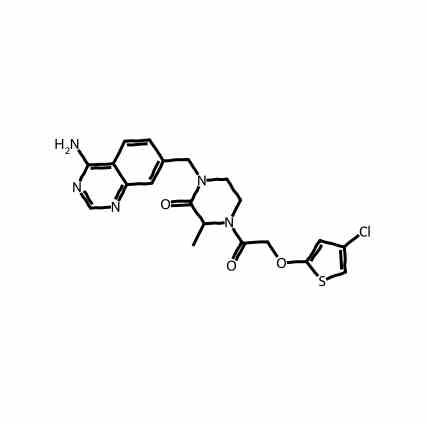 CC1C(=O)N(Cc2ccc3c(N)ncnc3c2)CCN1C(=O)COc1cc(Cl)cs1